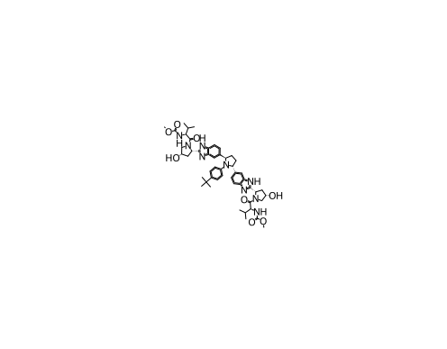 COC(=O)N[C@H](C(=O)N1C[C@@H](O)C[C@H]1c1nc2cc([C@H]3CC[C@H](c4ccc5nc([C@@H]6C[C@H](O)CN6C(=O)[C@@H](NC(=O)OC)C(C)C)[nH]c5c4)N3c3ccc(C(C)(C)C)cc3)ccc2[nH]1)C(C)C